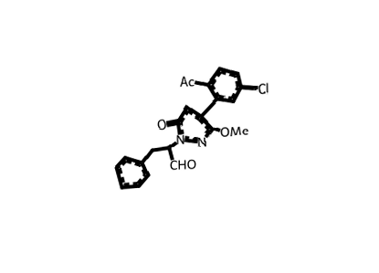 COc1nn(C(C=O)Cc2ccccc2)c(=O)cc1-c1cc(Cl)ccc1C(C)=O